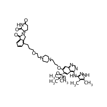 Cc1[nH]nc(Nc2ncnc3cc(OCCCN4CCN(CCOCCCc5cccc6c5CN([C@H]5CCC(=O)NC5=O)C6=O)CC4)c(S(=O)(=O)C(C)(C)C)cc23)c1C